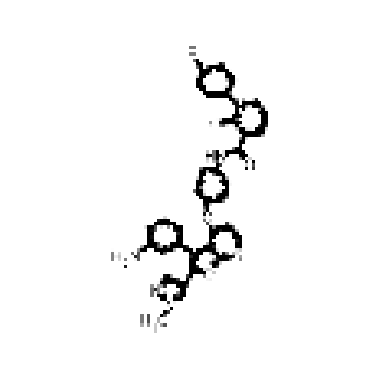 Cn1cc(-c2oc3nccc(Oc4ccc(NC(=O)c5cccn(-c6ccc(F)cc6)c5=O)cc4)c3c2-c2cccc(N)c2)cn1